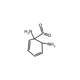 NC1C=CC=CC1(N)P(=O)=O